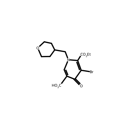 CCOC(=O)c1c(Br)c(=O)c(C(=O)O)cn1CC1CCOCC1